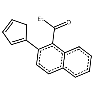 CCC(=O)c1c(C2=CC=CC2)ccc2ccccc12